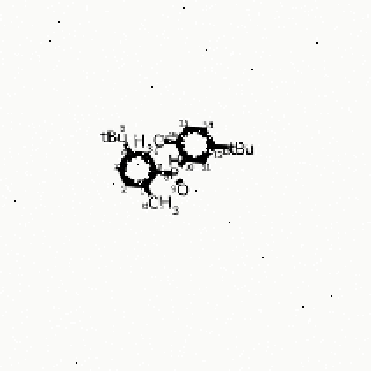 Cc1ccc(C(C)(C)C)cc1[PH](=O)c1cc(C(C)(C)C)ccc1C